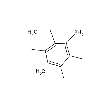 Bc1c(C)c(C)cc(C)c1C.O.O